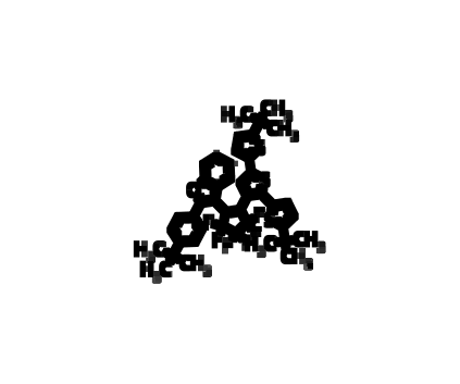 CC(C)(C)c1ccc(-c2oc3c[c][c]cc3c2C2=C(c3cc(-c4ccc(C(C)(C)C)s4)sc3-c3ccc(C(C)(C)C)s3)C(F)(F)C(F)(F)C2(F)F)cc1